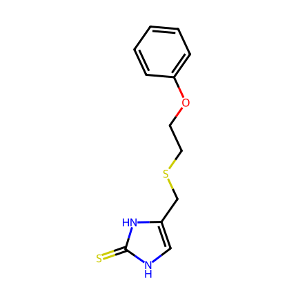 S=c1[nH]cc(CSCCOc2ccccc2)[nH]1